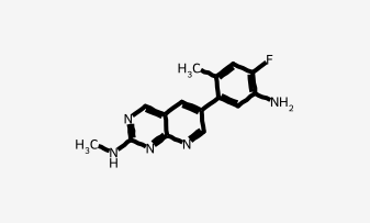 CNc1ncc2cc(-c3cc(N)c(F)cc3C)cnc2n1